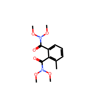 CON(OC)C(=O)c1cccc(C)c1C(=O)N(OC)OC